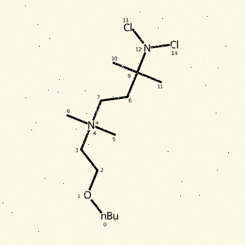 CCCCOCC[N+](C)(C)CCC(C)(C)N(Cl)Cl